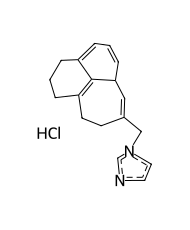 C1=CC2C=C(Cn3ccnc3)CCC3=C2C(=C1)CCC3.Cl